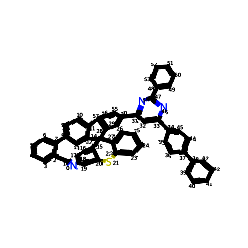 N#Cc1ccccc1-c1ccc2c(c1)C1(c3ccccc3Sc3ccccc31)c1cc(-c3cc(-c4ccc(-c5ccccc5)cc4)nc(-c4ccccc4)n3)ccc1-2